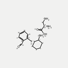 NC1CCCCC1.NC[C@H](N)C(=O)O.O=Cc1ccccc1F